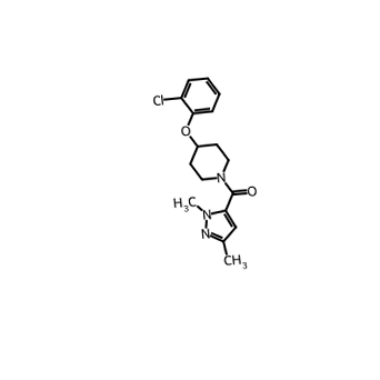 Cc1cc(C(=O)N2CCC(Oc3ccccc3Cl)CC2)n(C)n1